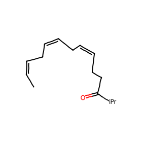 C/C=C\C/C=C\C/C=C\CCC(=O)C(C)C